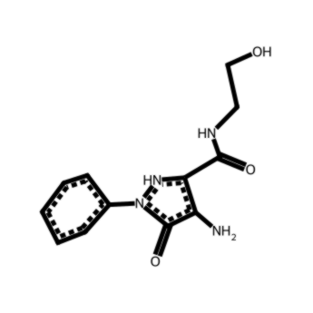 Nc1c(C(=O)NCCO)[nH]n(-c2ccccc2)c1=O